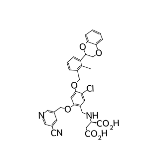 Cc1c(COc2cc(OCc3cncc(C#N)c3)c(CN[C@H](CC(=O)O)C(=O)O)cc2Cl)cccc1C1COc2ccccc2O1